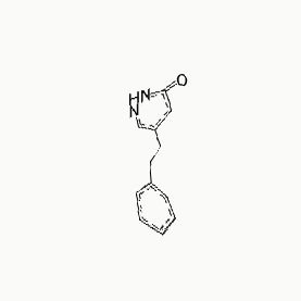 O=c1cc(CCc2ccccc2)cn[nH]1